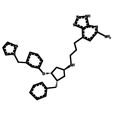 Nc1cc(CCCN[C@H]2C[C@H](Cc3ccccc3)[C@H](Oc3cccc(Cn4cccn4)c3)C2)c2nn[nH]c2n1